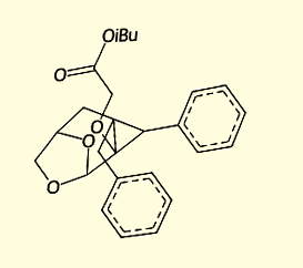 CC(C)COC(=O)COC12C3OCC(CC1(Cc1ccccc1)C2c1ccccc1)O3